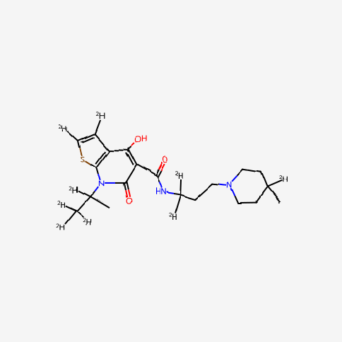 [2H]c1sc2c(c1[2H])c(O)c(C(=O)NC([2H])([2H])CCN1CCC([2H])(C)CC1)c(=O)n2C([2H])(C)C([2H])([2H])[2H]